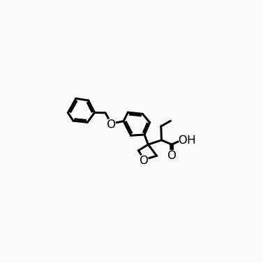 CCC(C(=O)O)C1(c2cccc(OCc3ccccc3)c2)COC1